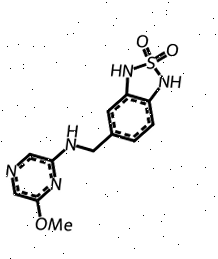 COc1cncc(NCc2ccc3c(c2)NS(=O)(=O)N3)n1